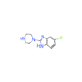 Fc1ccc2[nH]c(N3CCNCC3)nc2c1